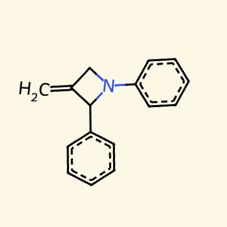 C=C1CN(c2ccccc2)C1c1ccccc1